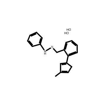 CC1=CCC(c2ccccc2[CH2][Ti][NH]c2ccccc2)=C1.Cl.Cl